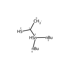 [CH2][CH](S)[SnH]([CH2]CCC)[CH2]CCC